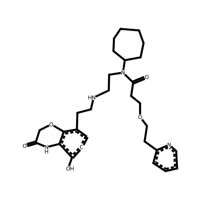 O=C1COc2c(CCNCCN(C(=O)CCOCCc3ccccn3)C3CCCCCC3)ccc(O)c2N1